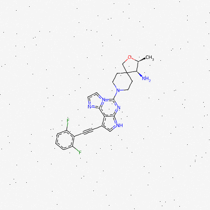 C[C@@H]1OCC2(CCN(c3nc4[nH]cc(C#Cc5c(F)cccc5F)c4c4nccn34)CC2)[C@@H]1N